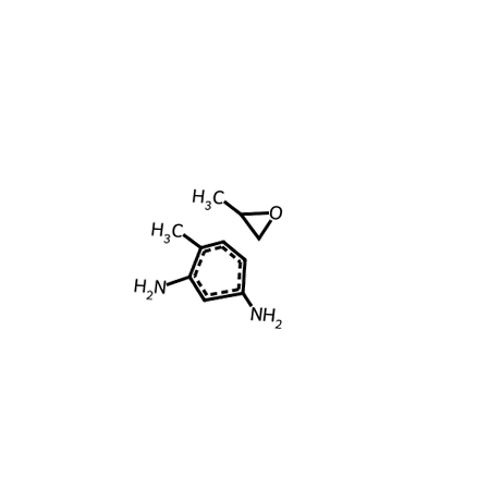 CC1CO1.Cc1ccc(N)cc1N